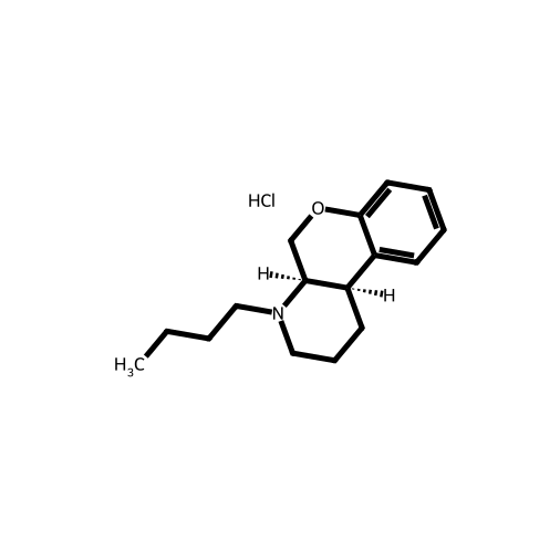 CCCCN1CCC[C@@H]2c3ccccc3OC[C@@H]21.Cl